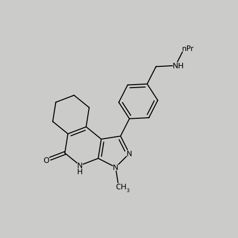 CCCNCc1ccc(-c2nn(C)c3[nH]c(=O)c4c(c23)CCCC4)cc1